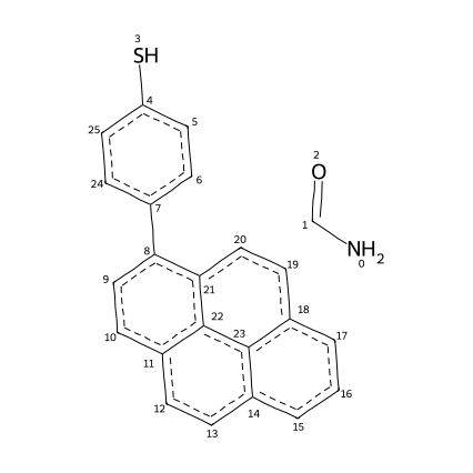 NC=O.Sc1ccc(-c2ccc3ccc4cccc5ccc2c3c45)cc1